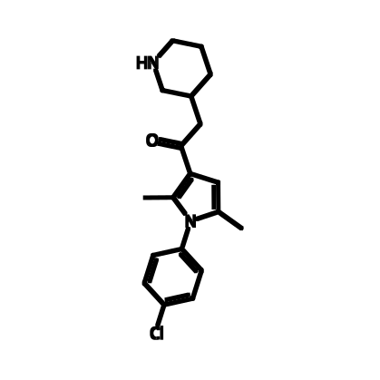 Cc1cc(C(=O)CC2CCCNC2)c(C)n1-c1ccc(Cl)cc1